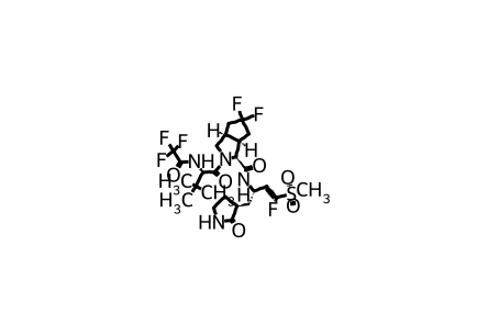 CC(C)(C)[C@@H](NC(=O)C(F)(F)F)C(=O)N1C[C@H]2CC(F)(F)C[C@H]2[C@H]1C(=O)N[C@H](/C=C(\F)S(C)(=O)=O)C[C@@H]1CCNC1=O